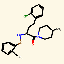 Cc1ccccc1SNC(CCc1ccccc1Cl)C(=O)N1CCC(C)CC1